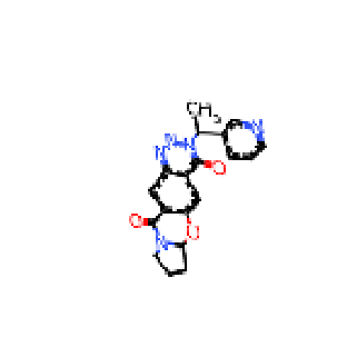 CC(c1cccnc1)n1nnc2cc3c(cc2c1=O)OC1CCCN1C3=O